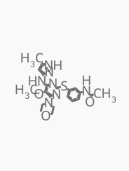 COc1c(Nc2cc(C)[nH]n2)nc(Sc2cccc(NC(C)=O)c2)nc1N1CCOCC1